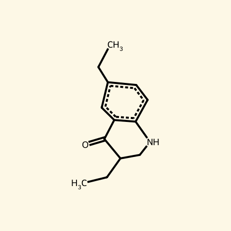 CCc1ccc2c(c1)C(=O)C(CC)CN2